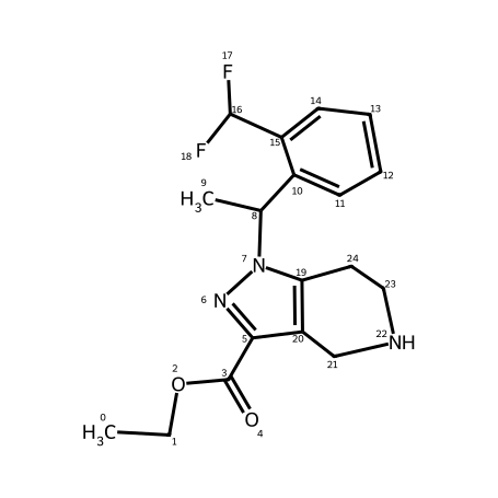 CCOC(=O)c1nn(C(C)c2ccccc2C(F)F)c2c1CNCC2